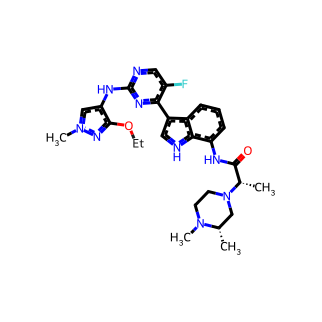 CCOc1nn(C)cc1Nc1ncc(F)c(-c2c[nH]c3c(NC(=O)[C@H](C)N4CCN(C)[C@@H](C)C4)cccc23)n1